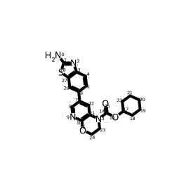 Nc1nc2ccc(-c3cnc4c(c3)N(C(=O)OC3CCCCC3)CCO4)cc2s1